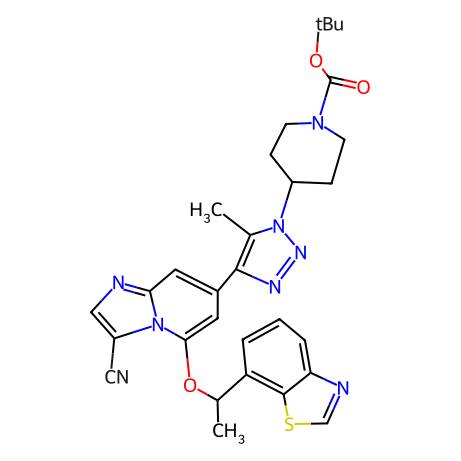 Cc1c(-c2cc(OC(C)c3cccc4ncsc34)n3c(C#N)cnc3c2)nnn1C1CCN(C(=O)OC(C)(C)C)CC1